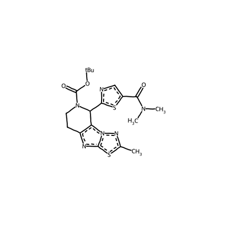 Cc1nn2c3c(nc2s1)CCN(C(=O)OC(C)(C)C)C3c1ncc(C(=O)N(C)C)s1